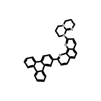 c1ccc2c(c1)c1ccccc1c1cc(-c3ccc4ccc5ccc(N6CCCN7CCCN=C76)nc5c4n3)ccc21